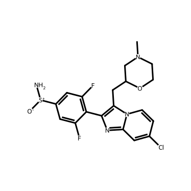 CN1CCOC(Cc2c(-c3c(F)cc([S+](N)[O-])cc3F)nc3cc(Cl)ccn23)C1